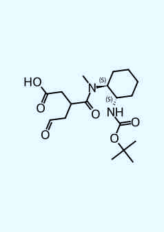 CN(C(=O)C(CC=O)CC(=O)O)[C@H]1CCCC[C@@H]1NC(=O)OC(C)(C)C